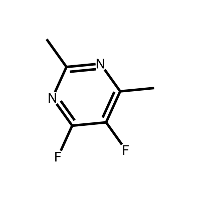 Cc1nc(C)c(F)c(F)n1